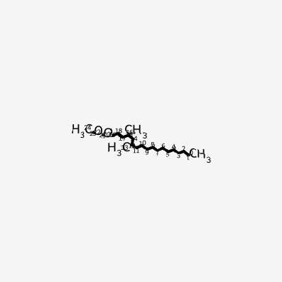 CCCCCCCCCCCCC(C)CC(C)CCCOCOCC